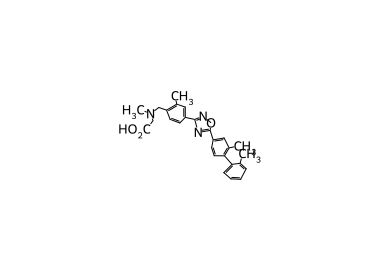 Cc1cc(-c2noc(-c3ccc(-c4ccccc4C)c(C)c3)n2)ccc1CN(C)CC(=O)O